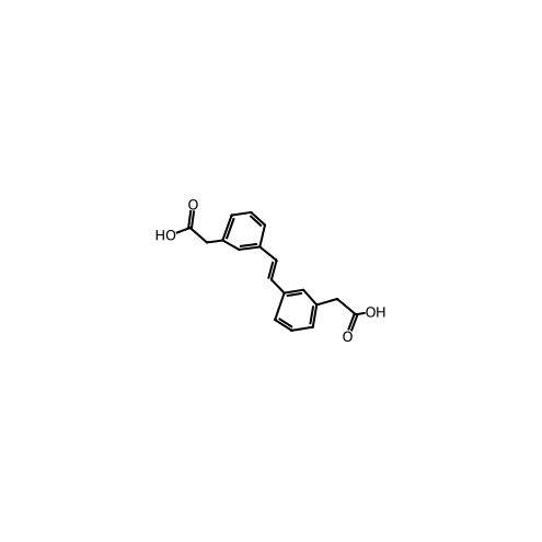 O=C(O)Cc1cccc(C=Cc2cccc(CC(=O)O)c2)c1